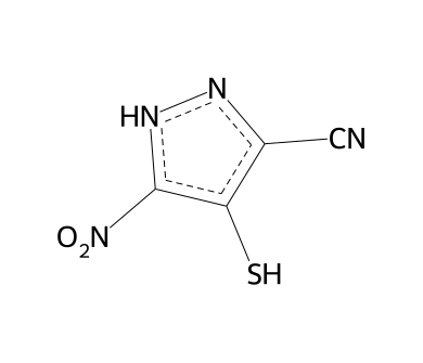 N#Cc1n[nH]c([N+](=O)[O-])c1S